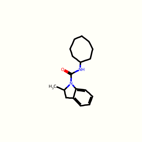 CC1Cc2ccccc2N1C(=O)NC1CCCCCCC1